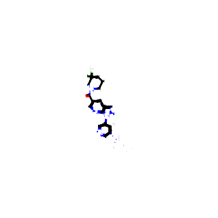 CCOC(=O)Nc1cncc(-n2ncc3cc(C(=O)N4CCCC(F)(F)C4)cnc32)c1